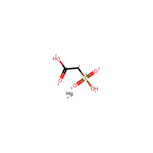 O=C(O)CS(=O)(=O)O.[Hg]